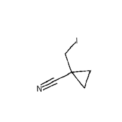 N#CC1(CI)CC1